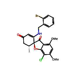 COc1cc(OC)c2c(c1Cl)O[C@]1(C2=O)C(NCc2ccccc2Br)=CC(=O)C[C@H]1C